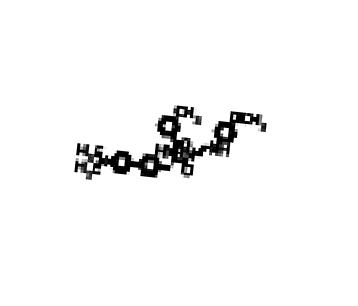 COc1ccc(NCCNC(=O)[C@H](Cc2ccc(-c3ccc(N(C)C)cc3)cc2)NC(=O)c2cccc(C)c2)cc1